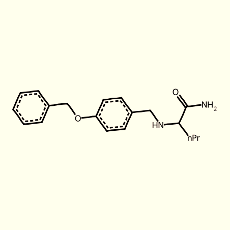 CCCC(NCc1ccc(OCc2ccccc2)cc1)C(N)=O